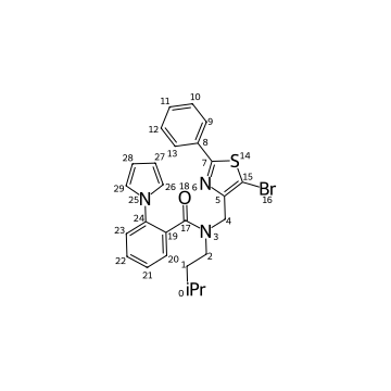 CC(C)CCN(Cc1nc(-c2ccccc2)sc1Br)C(=O)c1ccccc1-n1cccc1